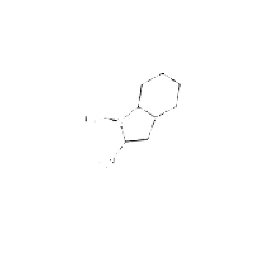 CN1C(N)CC2CCCCC21